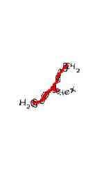 C=CC(=O)OCCCCCCOc1ccc(OC(=O)c2ccc(CCc3ccc4c(c3)nc(Oc3ccc(OCCCCCC)cc3)c3cc(CCc5ccc(C(=O)Oc6ccc(OCCCCCCOC(=O)C=C)cc6)cc5)ccc34)cc2)cc1